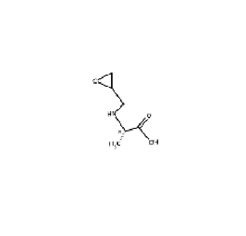 C[C@H](NCC1CO1)C(=O)O